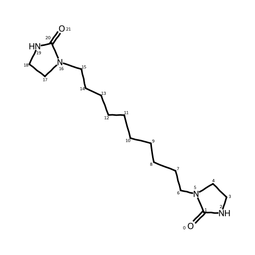 O=C1NCCN1CCCCCCCCCCN1CCNC1=O